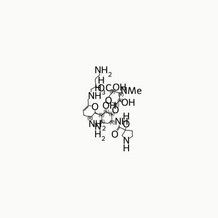 CN[C@@H]1[C@@H](O)[C@@H](O[C@@H]2[C@@H](O)[C@H](C3OC(CNCC(O)CCN)=CC[C@H]3N)[C@@H](N)C[C@H]2NC(=O)C2(O)CCNC2)OC[C@]1(C)O